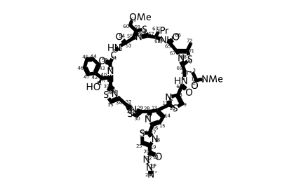 CNC(=O)C[C@@H]1NC(=O)c2csc(n2)-c2ccc(-c3nc(C(=O)N=[N+]=[N-])cs3)nc2-c2csc(n2)-c2csc(n2)[C@H]([C@@H](O)c2ccccc2)NC(=O)CNC(=O)c2nc(sc2COC)C(C(C)C)NC(=O)c2nc1sc2C